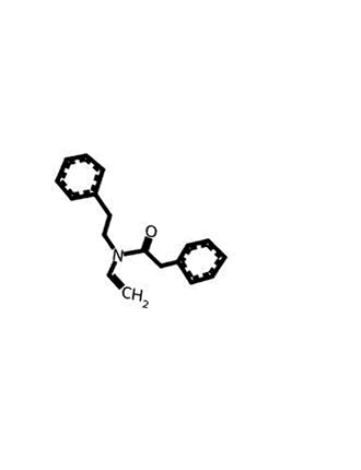 C=CN(CCc1ccccc1)C(=O)Cc1ccccc1